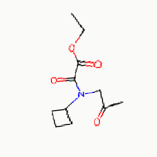 CCOC(=O)C(=O)N(CC(C)=O)C1CCC1